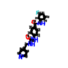 O=C(NCc1ccncc1)Nc1ccc(C(=O)Nc2cccc(F)c2)cc1